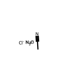 CC#N.O.[Cl-].[Na+]